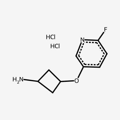 Cl.Cl.NC1CC(Oc2ccc(F)nc2)C1